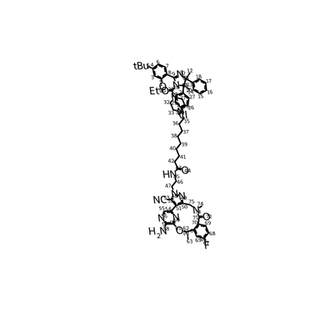 CCOc1cc(C(C)(C)C)ccc1C1=N[C@](C)(c2ccccc2)[C@](C)(c2ccc(Cl)cc2)N1C(=O)N1CCN(CCCCCCCCC(=O)NCCn2nc3c(c2C#N)-c2cnc(N)c(n2)O[C@H](C)c2cc(F)ccc2C(=O)N(C)C3)CC1